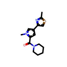 Cc1nc(-c2cc(C(=O)N3CCCCC3)n(C)c2)cs1